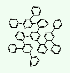 c1ccc(-c2cc(-c3ccccc3)c(-c3ccccc3-c3cc(-c4ccccc4-c4cnc(-c5ccccc5)cc4-c4ccccc4)cc(-c4ccccc4-c4cnc(-c5ccccc5)cc4-c4ccccc4)c3)cn2)cc1